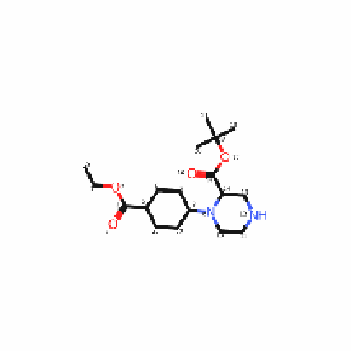 CCOC(=O)C1CCC(N2CCNCC2C(=O)OC(C)(C)C)CC1